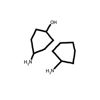 NC1CCC(O)CC1.NC1CCCCC1